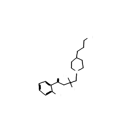 CCCCC1CCN(CC(C)(C)CC(=O)c2ccccc2C)CC1